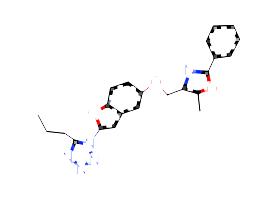 CCCc1nnnn1-c1cc2cc(OCc3nc(-c4ccccc4)oc3C)ccc2o1